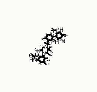 [2H]c1c([2H])c(-c2ccc(C)c(C(C)(C)N3CC([2H])N(c4c(C)c(C)cc5[nH]c(=O)oc45)C(C)C3(C)C)c2)c([2H])c([2H])c1C